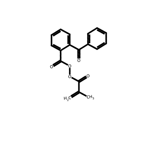 C=C(C)C(=O)OOC(=O)c1ccccc1C(=O)c1ccccc1